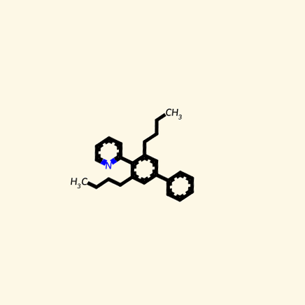 CCCCc1cc(-c2ccccc2)cc(CCCC)c1-c1ccccn1